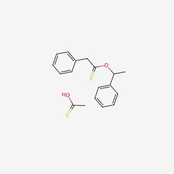 CC(O)=S.CC(OC(=S)Cc1ccccc1)c1ccccc1